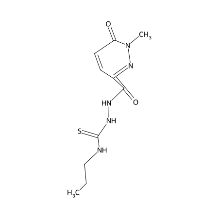 CCCNC(=S)NNC(=O)c1ccc(=O)n(C)n1